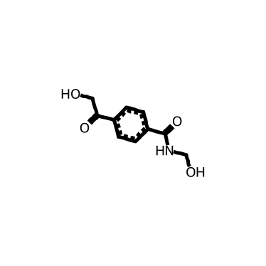 O=C(CO)c1ccc(C(=O)NCO)cc1